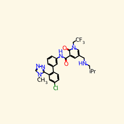 CC(C)CNCc1cc(C(=O)Nc2cccc(-c3ccc(Cl)cc3-c3nncn3C)c2)c(=O)n(CC(F)(F)F)c1